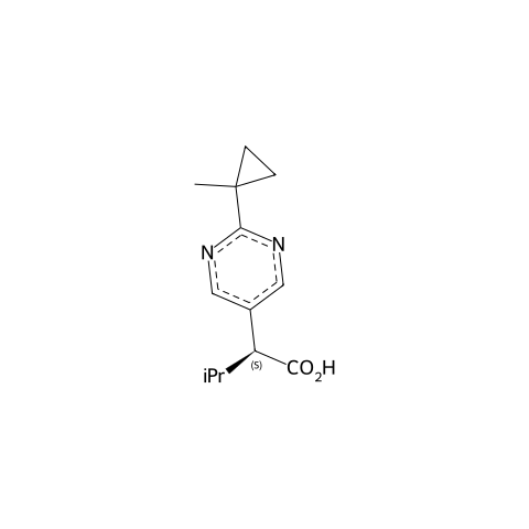 CC(C)[C@H](C(=O)O)c1cnc(C2(C)CC2)nc1